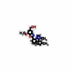 COc1cc(CO)cc2nc(-c3cccc([C@@]4(c5nncn5C)C[C@H](C)C[SiH2]4)c3)oc12